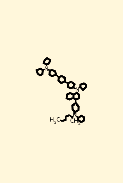 C=C(/C=C\C=C/C)N(c1ccccc1)c1ccc(-c2ccc(N(c3ccccc3)c3ccc(-c4ccc(-c5ccc(N(c6ccccc6)c6ccccc6)cc5)cc4)cc3)c3ccccc23)cc1